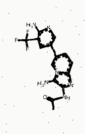 CC(=O)Nc1nc2ccc(-c3cnc(N)c(C(F)(F)F)c3)cn2c1N